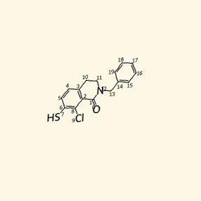 O=C1c2c(ccc(S)c2Cl)CCN1Cc1ccccc1